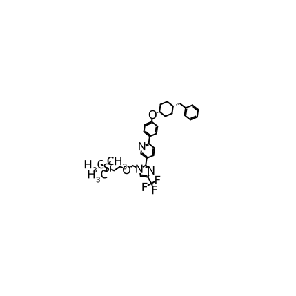 C[Si](C)(C)CCOCn1cc(C(F)(F)F)nc1-c1ccc(-c2ccc(O[C@H]3CC[C@@H](Cc4ccccc4)CC3)cc2)nc1